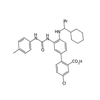 Cc1ccc(NC(=O)Nc2cc(-c3ccc(Cl)cc3C(=O)O)ccc2NC(C(C)C)C2CCCCC2)cc1